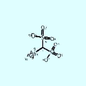 CC(=O)C(S(=O)(=O)[O-])S(=O)(=O)[O-].[Ag+2]